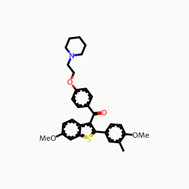 COc1ccc2c(C(=O)c3ccc(OCCN4CCCCC4)cc3)c(-c3ccc(OC)c(C)c3)sc2c1